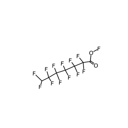 O=C(OF)C(F)(F)C(F)(F)C(F)(F)C(F)(F)C(F)(F)C(F)F